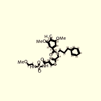 COCCNS(=O)(=O)NC(=O)c1csc(CN(CCCc2ccccc2)C(=O)c2cc(OC)c(C)c(OC)c2)n1